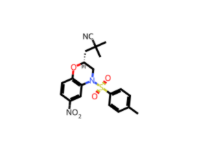 Cc1ccc(S(=O)(=O)N2C[C@@H](CC(C)(C)C#N)Oc3ccc([N+](=O)[O-])cc32)cc1